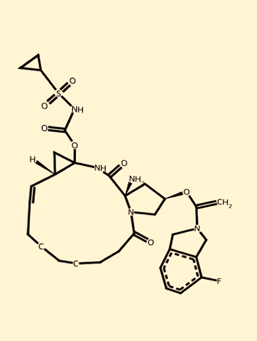 C=C(O[C@H]1CN2C(=O)CCCCCC/C=C\[C@@H]3CC3(OC(=O)NS(=O)(=O)C3CC3)NC(=O)[C@]2(N)C1)N1Cc2cccc(F)c2C1